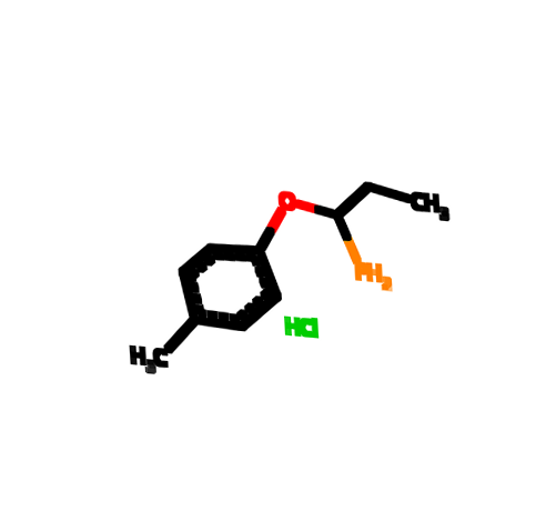 CCC(P)Oc1ccc(C)cc1.Cl